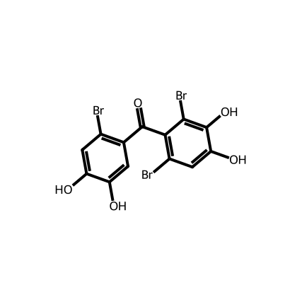 O=C(c1cc(O)c(O)cc1Br)c1c(Br)cc(O)c(O)c1Br